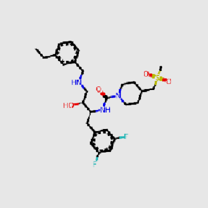 CCc1cccc(CNC[C@H](O)[C@H](Cc2cc(F)cc(F)c2)NC(=O)N2CCC(CS(C)(=O)=O)CC2)c1